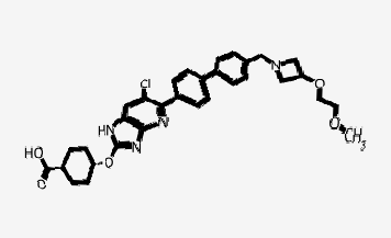 COCCOC1CN(Cc2ccc(-c3ccc(-c4nc5nc(O[C@H]6CC[C@H](C(=O)O)CC6)[nH]c5cc4Cl)cc3)cc2)C1